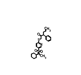 C=CCC(C(=O)CSc1ccc(S(=O)(=O)N(C)C2CCCCC2)cn1)c1ccccc1